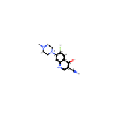 CN1CCN(c2cc3[nH]cc(C#N)c(=O)c3cc2F)CC1